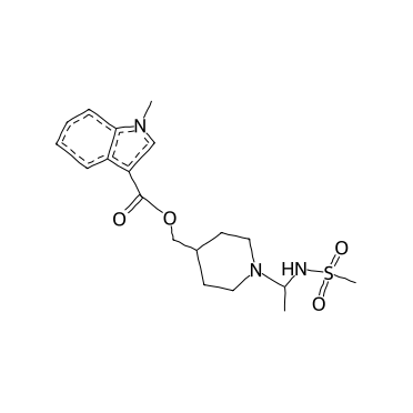 CC(NS(C)(=O)=O)N1CCC(COC(=O)c2cn(C)c3ccccc23)CC1